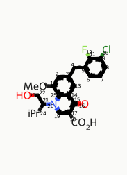 COc1cc(Cc2cccc(Cl)c2F)cc2c(=O)c(C(=O)O)cn(C(CO)C(C)C)c12